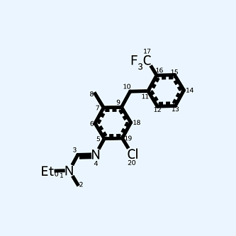 CCN(C)C=Nc1cc(C)c(Cc2ccccc2C(F)(F)F)cc1Cl